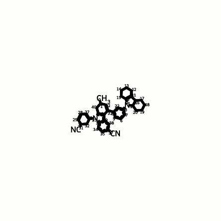 CC1C=C(c2cccc(N3C4=C(CCCC4)C4CCCCC43)c2)c2c(n(C3=CC=CC(C#N)C3)c3ccc(C#N)cc23)C1